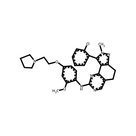 COc1cc(OCCN2CCCC2)ccc1Nc1ncc2c(n1)-c1c(nn(C)c1-c1ccccc1Cl)CC2